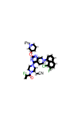 C=C(F)C(=O)N1CCN(c2nc(OC3CCCN(C(C)C)C3)nc3c2CCN(c2cccc4ccc(F)c(Cl)c24)C3)C[C@@H]1CC#N